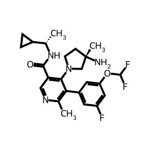 Cc1ncc(C(=O)N[C@@H](C)C2CC2)c(N2CC[C@](C)(N)C2)c1-c1cc(F)cc(OC(F)F)c1